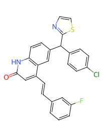 O=c1cc(C=Cc2cccc(F)c2)c2cc(C(c3ccc(Cl)cc3)c3nccs3)ccc2[nH]1